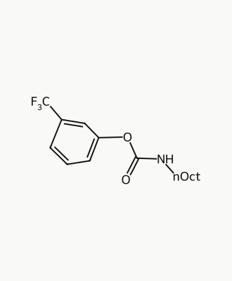 CCCCCCCCNC(=O)Oc1cccc(C(F)(F)F)c1